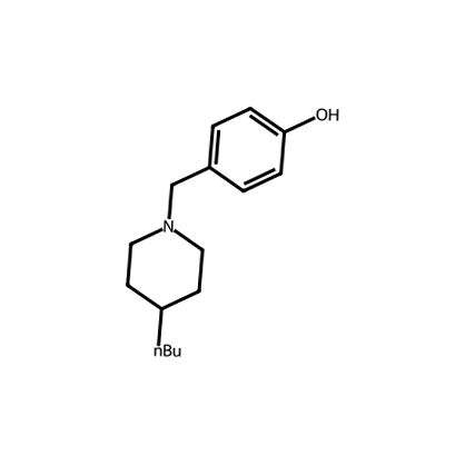 CCCCC1CCN(Cc2ccc(O)cc2)CC1